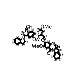 C=Nc1cc(OC/C(=C\C(=O)OC)COc2cc3c(cc2OC)C(=O)N2c4ccccc4C[C@H]2C=N3)c(OC)cc1C(=O)N1CCc2ccccc21